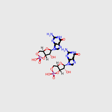 Nc1nc2c(ncn2[C@@H]2O[C@@H]3COP(=O)(O)O[C@H]3[C@H]2O)c(=O)[nH]1.Nc1nc2c(ncn2[C@@H]2O[C@@H]3COP(=O)(O)O[C@H]3[C@H]2O)c(=O)[nH]1